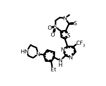 CCc1cc(N2CCNCC2)ccc1Nc1ncc(C(F)(F)F)c(-c2cc3c(s2)C(=S)N(C)CCS3(=O)=O)n1